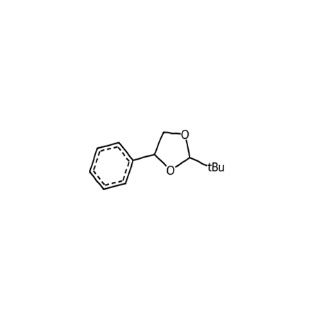 CC(C)(C)C1OCC(c2ccccc2)O1